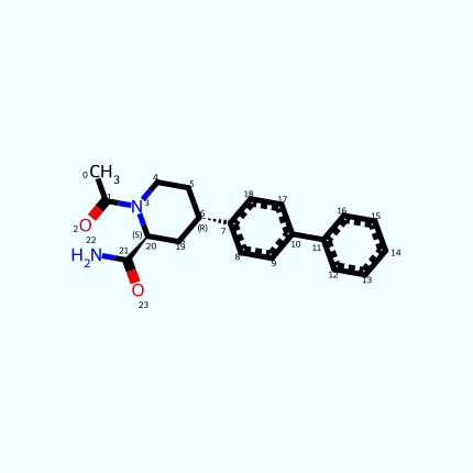 CC(=O)N1CC[C@H](c2ccc(-c3ccccc3)cc2)[CH][C@H]1C(N)=O